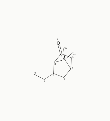 CCC1CC2CC(=O)C1C2(C)C